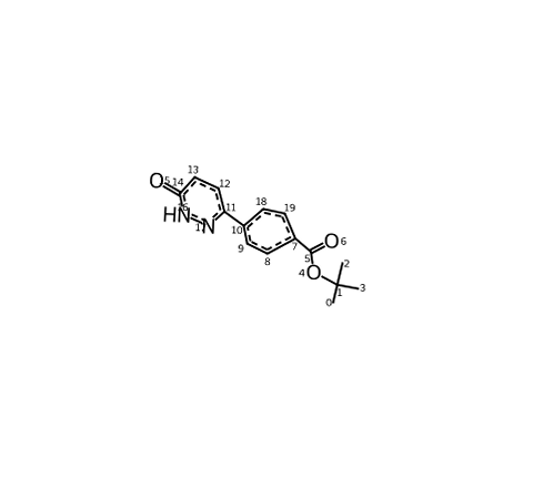 CC(C)(C)OC(=O)c1ccc(-c2ccc(=O)[nH]n2)cc1